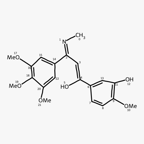 C/N=C(\C=C(/O)c1ccc(OC)c(O)c1)c1cc(OC)c(OC)c(OC)c1